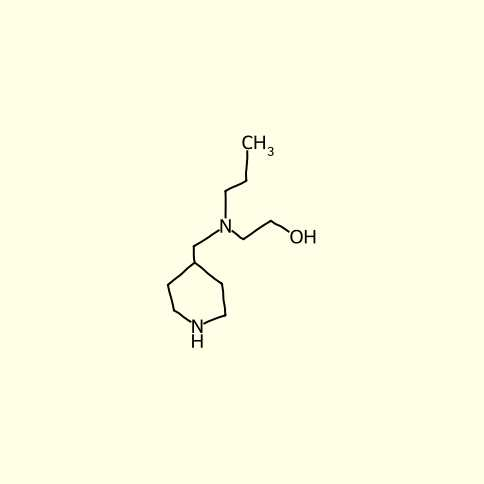 CCCN(CCO)CC1CCNCC1